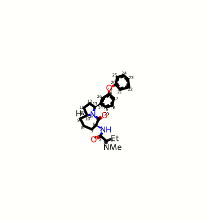 CCC(NC)C(=O)N[C@H]1CCC[C@H]2CC[C@@H](c3cccc(Oc4ccccc4)c3)N2C1=O